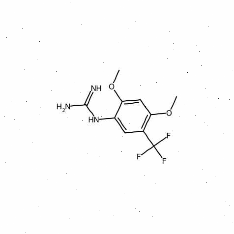 COc1cc(OC)c(C(F)(F)F)cc1NC(=N)N